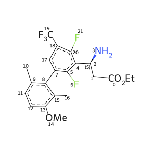 CCOC(=O)C[C@H](N)c1c(F)c(-c2c(C)ccc(OC)c2C)cc(C(F)(F)F)c1F